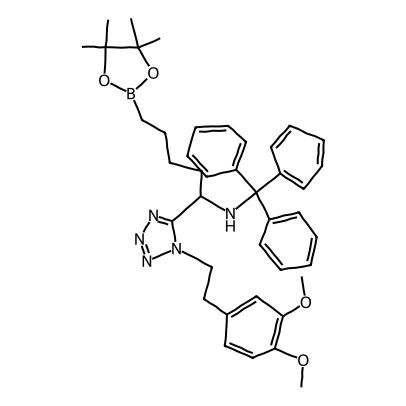 COc1ccc(CCn2nnnc2C(CCCCB2OC(C)(C)C(C)(C)O2)NC(c2ccccc2)(c2ccccc2)c2ccccc2)cc1OC